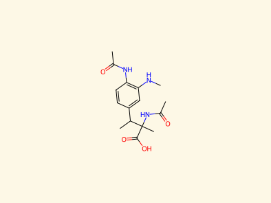 CNc1cc(C(C)C(C)(NC(C)=O)C(=O)O)ccc1NC(C)=O